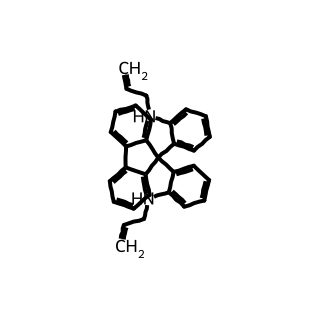 C=CCNc1ccccc1C1(c2ccccc2NCC=C)c2ccccc2-c2ccccc21